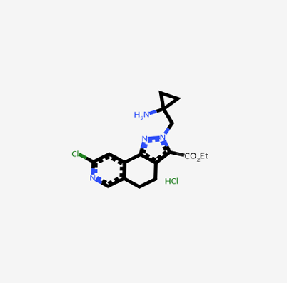 CCOC(=O)c1c2c(nn1CC1(N)CC1)-c1cc(Cl)ncc1CC2.Cl